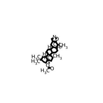 CC(=O)OC[C@]12CCC(C)(C)C[C@H]1C1=CC[C@@H]3[C@@]4(C)Cc5cnoc5[C@@H](C)[C@@H]4CC[C@@]3(C)[C@]1(C)CC2